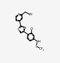 CC(C)Cc1cc(-c2nc(-c3ccc(NSC(F)(F)F)cc3Cl)cs2)ccn1